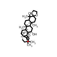 CC1(C)CC[C@@]23CC[C@]4(C=O)[C@@](OC2=O)(C3C1)[C@@H](O)CC1[C@@]2(C)CCC3(OCCO3)C(C)(C)C2CC[C@]14C